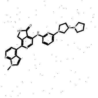 Cn1ccc2c(-c3ncc(Nc4cccc(N5CC[C@@H](N6CCCC6)C5)n4)c4c3CNC4=O)ccnc21